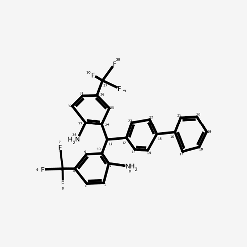 Nc1ccc(C(F)(F)F)cc1C(c1ccc(-c2ccccc2)cc1)c1cc(C(F)(F)F)ccc1N